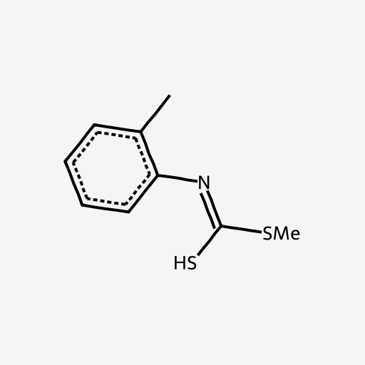 CS/C(S)=N/c1ccccc1C